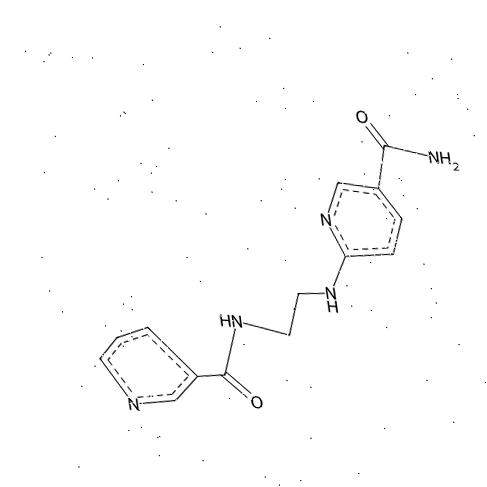 NC(=O)c1ccc(NCCNC(=O)c2cccnc2)nc1